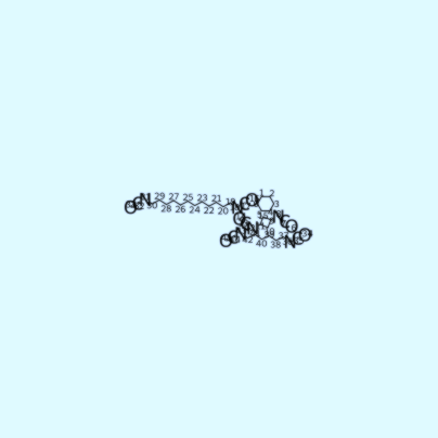 C1CCCCC1.O=C=NC1CC(N=C=O)C1.O=C=NCCCCCCCCCCCCN=C=O.O=C=NCCCCCCN=C=O